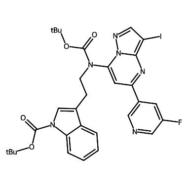 CC(C)(C)OC(=O)N(CCc1cn(C(=O)OC(C)(C)C)c2ccccc12)c1cc(-c2cncc(F)c2)nc2c(I)cnn12